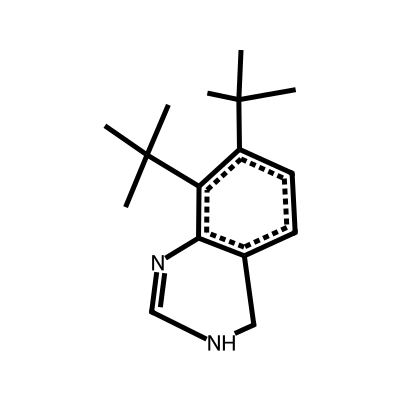 CC(C)(C)c1ccc2c(c1C(C)(C)C)N=CNC2